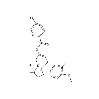 COc1ccc([C@@]23CC=C(OC(=O)c4ccc(Cl)cc4)C[C@@H]2N(C)CC3)cc1C